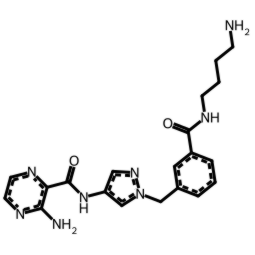 NCCCCNC(=O)c1cccc(Cn2cc(NC(=O)c3nccnc3N)cn2)c1